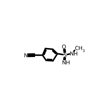 CNS(=N)(=O)c1ccc(C#N)cc1